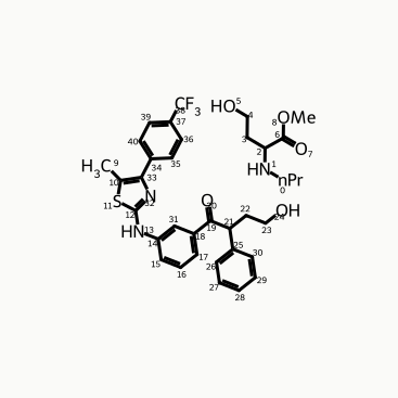 CCCNC(CCO)C(=O)OC.Cc1sc(Nc2cccc(C(=O)C(CCO)c3ccccc3)c2)nc1-c1ccc(C(F)(F)F)cc1